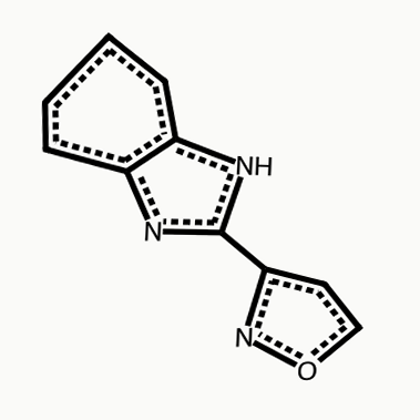 c1ccc2[nH]c(-c3ccon3)nc2c1